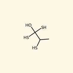 CC(S)C(O)(S)S